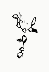 CC1(C)c2ccccc2-c2ccc(-c3cc(-c4ccc(-c5ccc(-c6cccnc6)cc5)cc4)nc(-c4cccc(-c5ccccc5)c4)n3)cc21